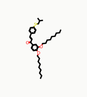 CCCCCCCCCOc1ccc(C(=O)C=Cc2ccc(SCC(C)C)cc2)cc1OCCCCCCCCC